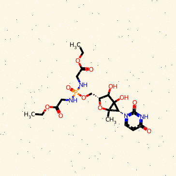 CCOC(=O)CNP(=O)(NCC(=O)OCC)OC[C@H]1OC2(C)[C@@H](n3ccc(=O)[nH]c3=O)C2(O)C1O